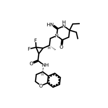 CCC1(CC)CC(=O)N(C[C@H](C)C2C(C(=O)N[C@H]3CCOc4ccccc43)C2(F)F)C(=N)N1